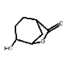 O=C1OC2CC1CCC2O